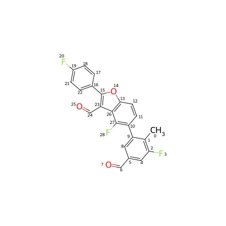 Cc1c(F)cc(C=O)cc1-c1ccc2oc(-c3ccc(F)cc3)c(C=O)c2c1F